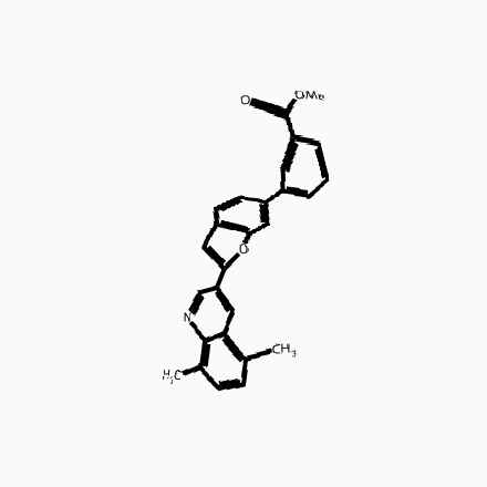 COC(=O)c1cccc(-c2ccc3cc(-c4cnc5c(C)ccc(C)c5c4)oc3c2)c1